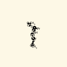 CC(C)c1ccc(OC[C@@H]2COC(=O)N2C)c2cnc(Nc3ccnc(N4CC[C@@H](OCCOS(C)(=O)=O)[C@@H](F)C4)n3)cc12